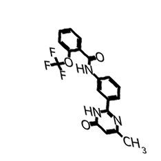 Cc1cc(=O)[nH]c(-c2cccc(NC(=O)c3ccccc3OC(F)(F)F)c2)n1